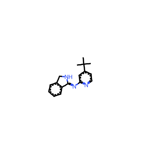 CC(C)(C)c1ccnc(N=C2NCc3ccccc32)c1